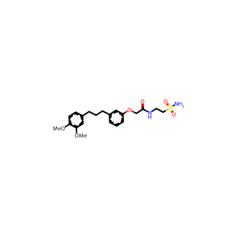 COc1ccc(CCCc2cccc(OCC(=O)NCCS(N)(=O)=O)c2)cc1OC